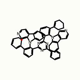 C1=CCCC(c2cccc(-c3nc(-c4ccccc4)nc(-c4cccc(C5=CCCCC5)c4-n4c5c(c6ccncc64)C=CCC5)n3)c2-n2c3ccccc3c3ccncc32)=C1